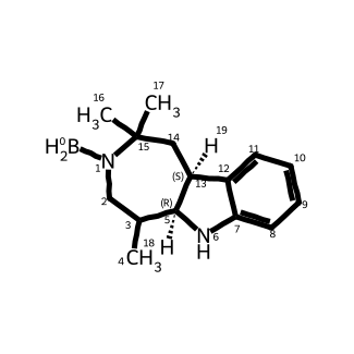 BN1CC(C)[C@@H]2Nc3ccccc3[C@@H]2CC1(C)C